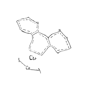 [Cu].[I][Cu][I].c1cnc2c(c1)ccc1cccnc12